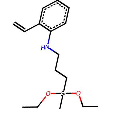 C=Cc1ccccc1NCCC[Si](C)(OCC)OCC